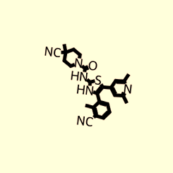 Cc1cc(C2=C(c3cccc(C#N)c3C)NC(NC(=O)N3CCC(C)(C#N)CC3)S2)cc(C)n1